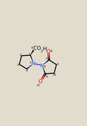 O=C(O)[C@@H]1CCCN1N1C(=O)CCC1=O